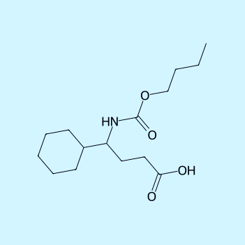 CCCCOC(=O)NC(CCC(=O)O)C1CCCCC1